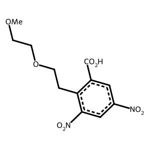 COCCOCCc1c(C(=O)O)cc([N+](=O)[O-])cc1[N+](=O)[O-]